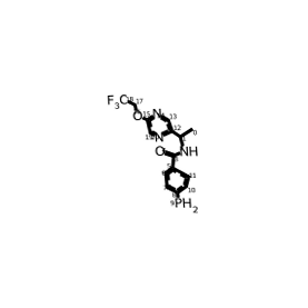 CC(NC(=O)c1ccc(P)cc1)c1cnc(OCC(F)(F)F)cn1